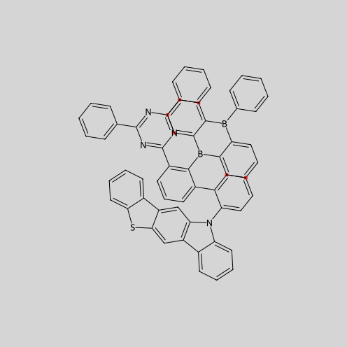 c1ccc(B2c3ccccc3B(c3c(-c4nc(-c5ccccc5)nc(-c5ccccc5)n4)cccc3-c3ccccc3-n3c4ccccc4c4cc5sc6ccccc6c5cc43)c3ccccc32)cc1